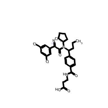 CCCC(c1ccc(C(=O)NCCC(=O)O)cc1)N(C(=O)/C(=N\C)c1cc(Cl)cc(Cl)c1)C1CCCC1